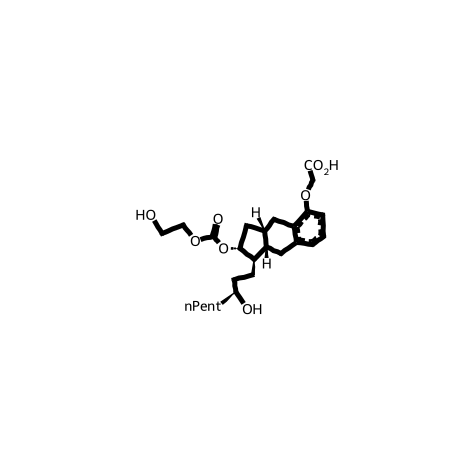 CCCCC[C@H](O)CC[C@@H]1[C@H]2Cc3cccc(OCC(=O)O)c3C[C@H]2C[C@H]1OC(=O)OCCO